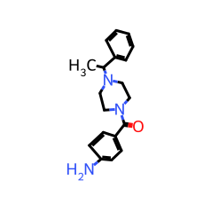 CC(c1ccccc1)N1CCN(C(=O)c2ccc(N)cc2)CC1